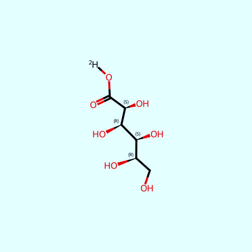 [2H]OC(=O)[C@@H](O)[C@H](O)[C@@H](O)[C@H](O)CO